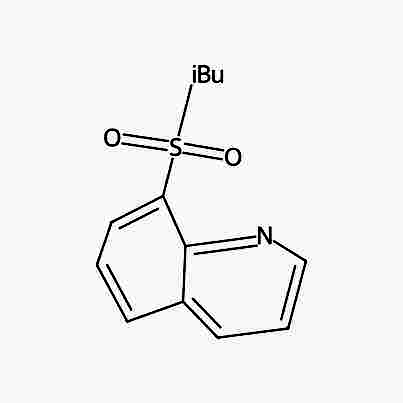 CCC(C)S(=O)(=O)c1cccc2cccnc12